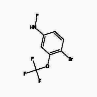 FNc1ccc(Br)c(OC(F)(F)F)c1